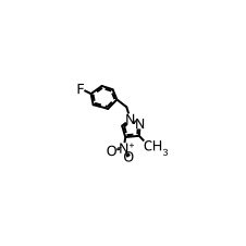 Cc1nn(Cc2ccc(F)cc2)cc1[N+](=O)[O-]